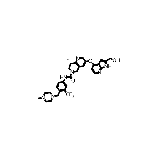 C[C@H]1CN(C(=O)Nc2ccc(CN3CCN(C)CC3)c(C(F)(F)F)c2)Cc2cc(Oc3ccnc4[nH]c(CO)cc34)cnc21